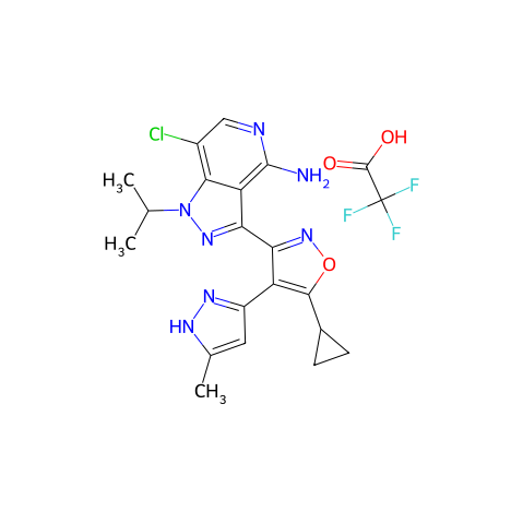 Cc1cc(-c2c(-c3nn(C(C)C)c4c(Cl)cnc(N)c34)noc2C2CC2)n[nH]1.O=C(O)C(F)(F)F